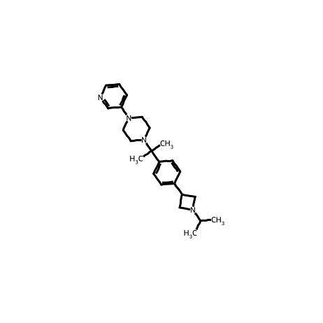 CC(C)N1CC(c2ccc(C(C)(C)N3CCN(c4cccnc4)CC3)cc2)C1